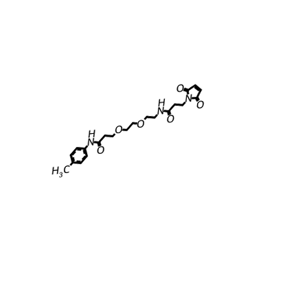 Cc1ccc(NC(=O)CCOCCOCCNC(=O)CCN2C(=O)C=CC2=O)cc1